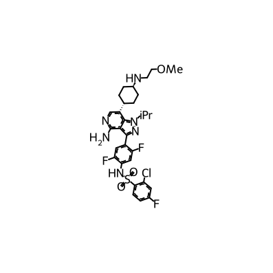 COCCN[C@H]1CC[C@H](c2cnc(N)c3c(-c4cc(F)c(NS(=O)(=O)c5ccc(F)cc5Cl)cc4F)nn(C(C)C)c32)CC1